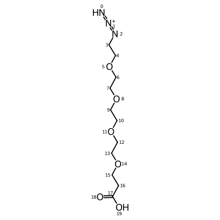 N=[N+]=NCCOCCOCCOCCOCCC(=O)O